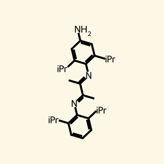 CC(=N\c1c(C(C)C)cccc1C(C)C)/C(C)=N/c1c(C(C)C)cc(N)cc1C(C)C